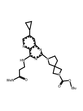 CNC(=O)CCNc1nc(N2CCC3(CN(C(=O)OC(C)(C)C)C3)C2)nc2cc(C3CC3)cnc12